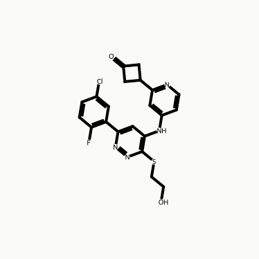 O=C1CC(c2cc(Nc3cc(-c4cc(Cl)ccc4F)nnc3SCCO)ccn2)C1